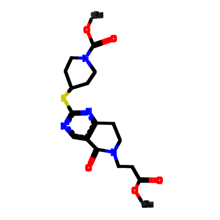 CC(C)(C)OC(=O)CCN1CCc2nc(SC3CCN(C(=O)OC(C)(C)C)CC3)ncc2C1=O